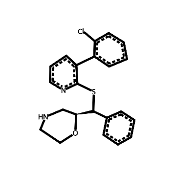 Clc1ccccc1-c1cccnc1SC(c1ccccc1)[C@@H]1CNCCO1